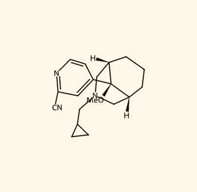 CO[C@]1(c2ccnc(C#N)c2)[C@@H]2CCC[C@H]1CN(CC1CC1)C2